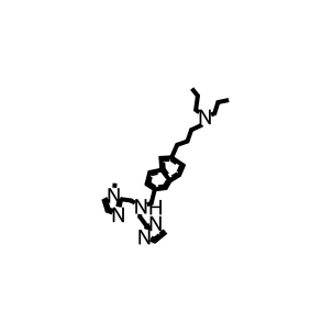 CCCN(CCC)CCCCc1ccc2cc(CN(Cc3ncc[nH]3)Cc3nccn3C)ccc2c1